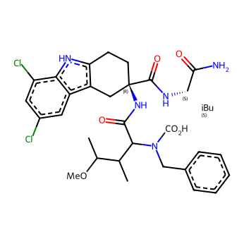 CC[C@H](C)[C@H](NC(=O)[C@@]1(NC(=O)C(C(C)C(C)OC)N(Cc2ccccc2)C(=O)O)CCc2[nH]c3c(Cl)cc(Cl)cc3c2C1)C(N)=O